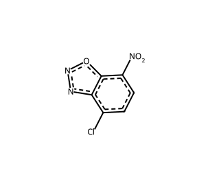 O=[N+]([O-])c1ccc(Cl)c2nnoc12